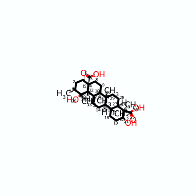 C[C@@H]1CC[C@]2(C(=O)O)CC[C@]3(C)C(=CC[C@@H]4[C@@]5(C)CC[C@H](O)[C@](C)(C(=O)O)[C@@H]5CC[C@]43C)[C@@H]2[C@]1(C)O